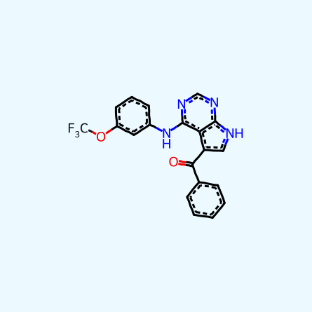 O=C(c1ccccc1)c1c[nH]c2ncnc(Nc3cccc(OC(F)(F)F)c3)c12